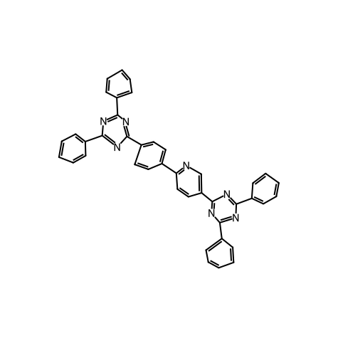 c1ccc(-c2nc(-c3ccccc3)nc(-c3ccc(-c4ccc(-c5nc(-c6ccccc6)nc(-c6ccccc6)n5)cn4)cc3)n2)cc1